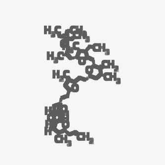 C=CC[C@@H]1O[C@@H]2[C@H]3O[C@@H]4C[C@@](CC[C@H]5CC(=C)C(CC[C@H]6C[C@@H](C)C(=C)[C@@H](CC7O[C@H](C[C@H](C)CO[Si](CC)(CC)CC)[C@H](C)[C@H]7CC)O6)O5)(O[C@H]24)O[C@H]3[C@H]1C